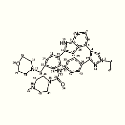 CCn1cc(-c2ccnc3[nH]c(-c4ccc(CN5CCOCC5)cc4)cc23)c(-c2ccc(NC(=O)N3CCN(C)CC3)cc2)n1